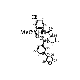 COC(=O)c1cc(Cl)ccc1NC(=O)[C@@H]1CCCN1C(=O)c1cccc(-c2ccoc2)c1